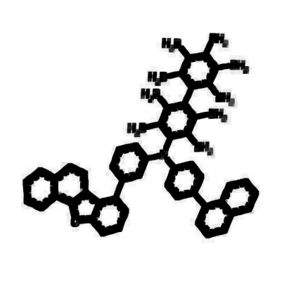 Bc1c(B)c(B)c(-c2c(B)c(B)c(N(c3ccc(-c4cccc5ccccc45)cc3)c3cccc(-c4cccc5oc6c7ccccc7ccc6c45)c3)c(B)c2B)c(B)c1B